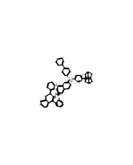 c1ccc(-c2ccc(N(c3ccc(C45CC6CC4CC6C5)cc3)c3ccc4cc(-n5c6c(c7ccccc75)-c5ccccc5CC6c5ccccc5)ccc4c3)cc2)cc1